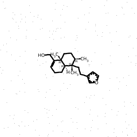 C[C@@H]1CC[C@@]2(C)C(CO)=CCC[C@@H]2[C@@]1(C)CCc1ccoc1